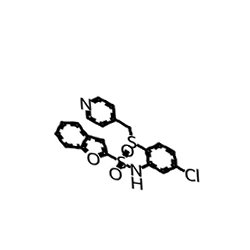 O=S(=O)(Nc1cc(Cl)ccc1SCc1ccncc1)c1cc2ccccc2o1